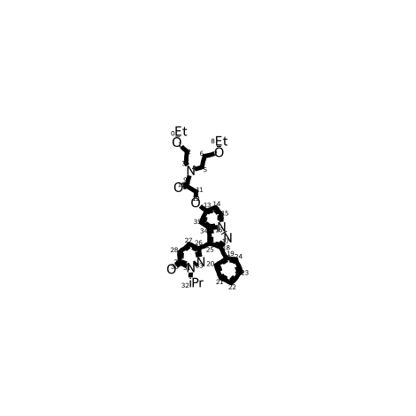 CCOCCN(CCOCC)C(=O)COc1ccn2nc(-c3ccccc3)c(-c3ccc(=O)n(C(C)C)n3)c2c1